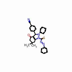 CC1(C)CC(=O)C2=C(C1)N(C(=S)N=Nc1ccccc1)N(c1ccccc1)C2c1ccc(C#N)cc1